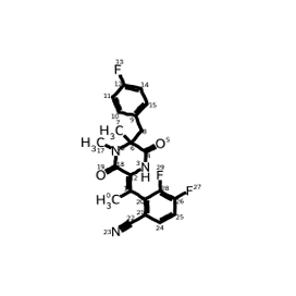 CC(=C1NC(=O)C(C)(Cc2ccc(F)cc2)N(C)C1=O)c1c(C#N)ccc(F)c1F